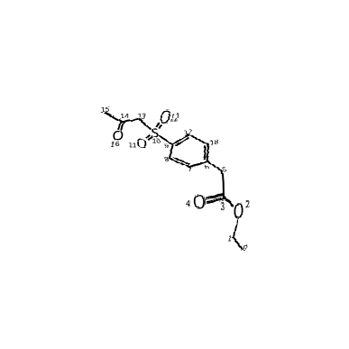 CCOC(=O)Cc1ccc(S(=O)(=O)CC(C)=O)cc1